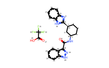 O=C(N[C@@H]1CCC[C@H](c2nc3ccccc3[nH]2)C1)c1n[nH]c2ccccc12.O=C(O)C(F)(F)F